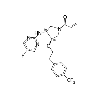 C=CC(=O)N1C[C@@H](Nc2ncc(F)cn2)[C@H](OCCc2ccc(C(F)(F)F)cc2)C1